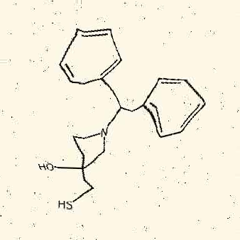 OC1(CS)CN(C(c2ccccc2)c2ccccc2)C1